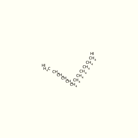 C.C.C.C.C.C.C.C.C.C.C.C.I.I